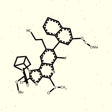 CCc1nc2c([S+](C)[O-])nc3c(F)c(-c4cc(OCOC)cc5ccccc45)c(CCC#N)cc3c2n1C1C2CC1N(C(=O)OC(C)(C)C)C2